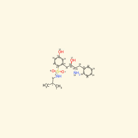 CC(C)CNS(=O)(=O)c1ccc(O)cc1C[C@@H](O)[C@@H](N)Cc1ccccc1